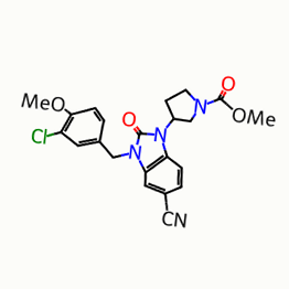 COC(=O)N1CCC(n2c(=O)n(Cc3ccc(OC)c(Cl)c3)c3cc(C#N)ccc32)C1